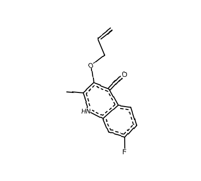 C=CCOc1c(C)[nH]c2cc(F)ccc2c1=O